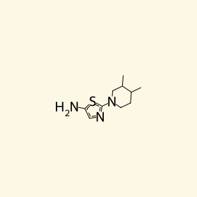 CC1CCN(c2ncc(N)s2)CC1C